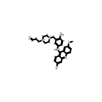 COc1ccc2nc3cc(Cl)ccc3c(Nc3ccc(O)c(CN4CCN(CCC=O)CC4)c3)c2c1